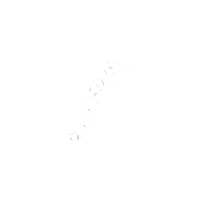 CCc1c(-c2ccc(OC)c(OC)c2)[nH]c2ccc(C3CCN(C4CCN(Cc5c[nH]cn5)CC4)CC3)cc12